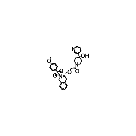 COc1ccc(S(=O)(=O)N2Cc3ccccc3C[C@H]2COCC(=O)N2CCC(O)(c3cccnc3)CC2)cc1